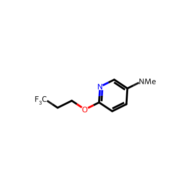 CNc1ccc(OCCC(F)(F)F)nc1